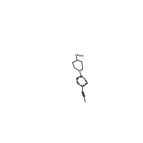 CC#Cc1ccc(N2CCN(CCCCC)CC2)nc1